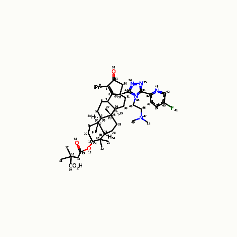 CC(C)C1=C2C3CC[C@@H]4[C@@]5(C)CC[C@H](OC(=O)CC(C)(C)C(=O)O)C(C)(C)[C@@H]5CC[C@@]4(C)[C@]3(C)CC[C@@]2(c2nnc(-c3ccc(F)cn3)n2CCN(C)C)CC1=O